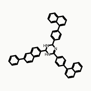 c1ccc(-c2ccc3cc(C4NC(c5ccc(-c6cccc7ccccc67)cc5)=NC(c5ccc(-c6cccc7ccccc67)cc5)N4)ccc3c2)cc1